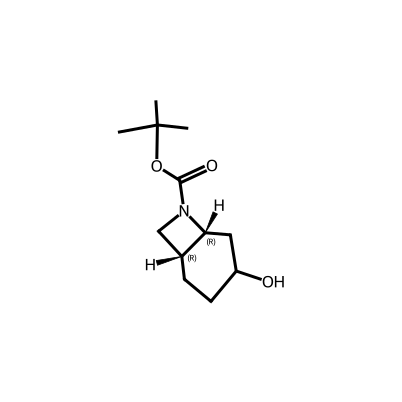 CC(C)(C)OC(=O)N1C[C@H]2CCC(O)C[C@H]21